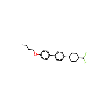 CCCCOc1ccc(-c2ccc([C@H]3CC[C@H](C(F)F)CC3)cc2)cc1